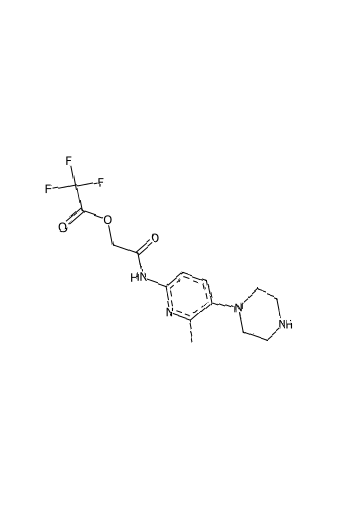 Cc1nc(NC(=O)COC(=O)C(F)(F)F)ccc1N1CCNCC1